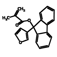 C=C(C)C(=O)OC1(c2ccoc2)c2ccccc2-c2ccccc21